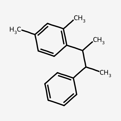 Cc1ccc(C(C)C(C)c2ccccc2)c(C)c1